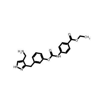 CCOC(=O)c1ccc(NC(=O)Oc2cccc(Cc3n[nH]cc3CN)c2)cc1